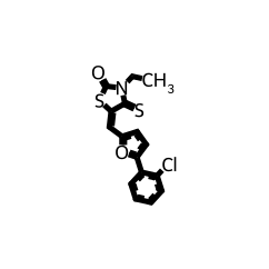 CCN1C(=O)S/C(=C/c2ccc(-c3ccccc3Cl)o2)C1=S